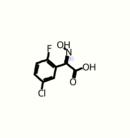 O=C(O)/C(=N/O)c1cc(Cl)ccc1F